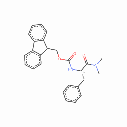 CN(C)C(=O)[C@H](Cc1ccccc1)NC(=O)OCC1c2ccccc2-c2ccccc21